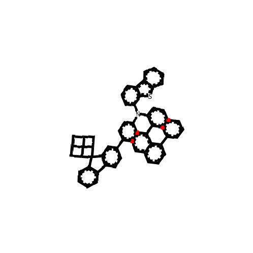 c1ccc(-c2cccc3cccc(-c4ccccc4N(c4ccc(-c5ccc6c(c5)C5(c7ccccc7-6)C6CC7CC8CC5C786)cc4)c4cccc5c4sc4ccccc45)c23)cc1